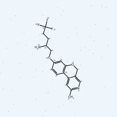 Cc1cc2c(cn1)COc1cc(OCC(N)CCC(F)(F)F)ccc1-2